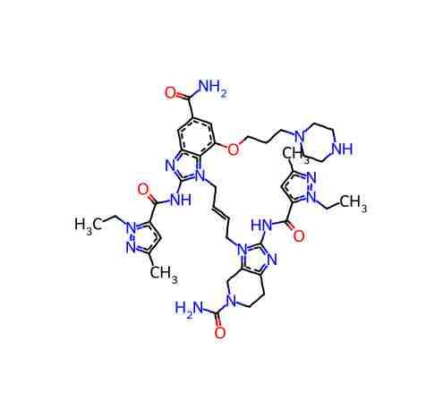 CCn1nc(C)cc1C(=O)Nc1nc2c(n1C/C=C/Cn1c(NC(=O)c3cc(C)nn3CC)nc3cc(C(N)=O)cc(OCCCN4CCNCC4)c31)CN(C(N)=O)CC2